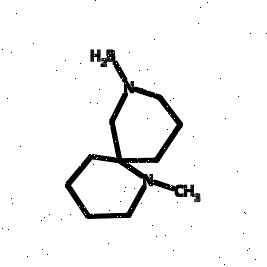 BN1CCCC2(CCCCN2C)C1